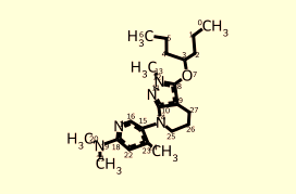 CCCC(CCC)Oc1c2c(nn1C)N(c1cnc(N(C)C)cc1C)CCC2